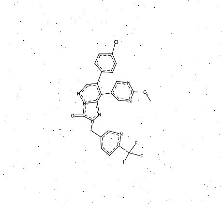 COc1ncc(-c2c(-c3ccc(Cl)cc3)cnn3c(=O)n(Cc4ccc(C(F)(F)F)nc4)nc23)cn1